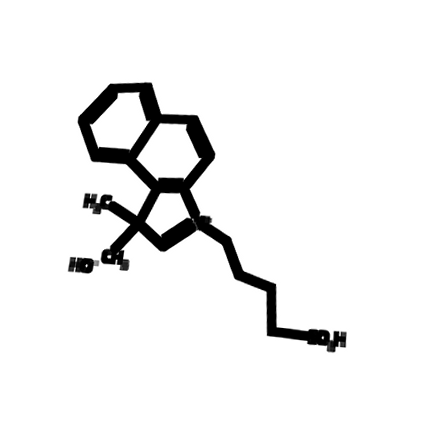 CC1(C)C=[N+](CCCCS(=O)(=O)O)c2ccc3ccccc3c21.[OH-]